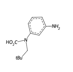 CC(C)(C)CN(C(=O)O)c1cccc(N)c1